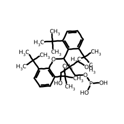 CC(C)(C)c1cccc(C(C)(C)C)c1OC(c1c(C(C)(C)C)cccc1C(C)(C)C)C(CO)(CO)COP(O)O